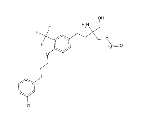 NC(CO)(CCc1ccc(OCCCc2cccc(Cl)c2)c(C(F)(F)F)c1)CO[PH2]=O